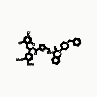 COc1ccc(C(Cc2c(Cl)c[n+]([O-])cc2Cl)OC(=O)c2ccc(CN[C@H](C(=O)OC3CCN(Cc4ccccc4)CC3)c3ccccc3F)s2)cc1OC